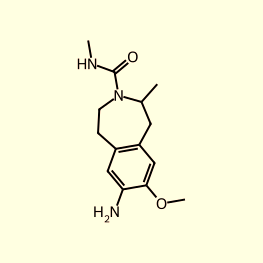 CNC(=O)N1CCc2cc(N)c(OC)cc2CC1C